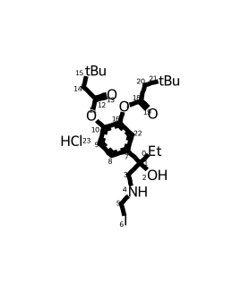 CCC(O)(CNCI)c1ccc(OC(=O)CC(C)(C)C)c(OC(=O)CC(C)(C)C)c1.Cl